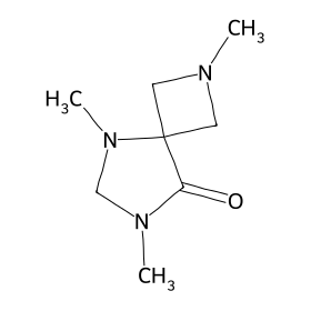 CN1CC2(C1)C(=O)N(C)CN2C